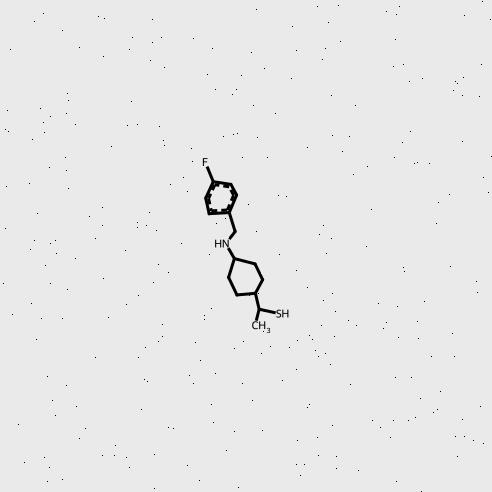 CC(S)C1CCC(NCc2ccc(F)cc2)CC1